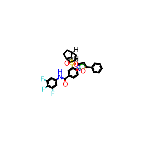 O=C(Nc1cc(F)c(F)c(F)c1)c1ccc(Cl)c(S(=O)(=O)[C@H]2C3CC[C@H]2C[C@H](c2cc(-c4ccccc4)on2)C3)c1